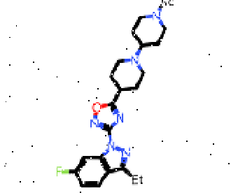 CCc1nn(-c2noc(C3CCN(C4CCN(C(C)=O)CC4)CC3)n2)c2cc(F)ccc12